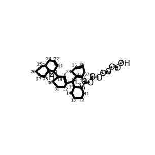 CC(OOOOOOOO)[C@H]1CCCCC1C(C1=CC(C2C=CCC3CCCC[C@@H]32)CCC1)C1CC=CCC1